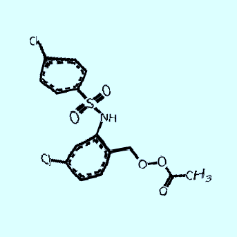 CC(=O)OOCc1ccc(Cl)cc1NS(=O)(=O)c1ccc(Cl)cc1